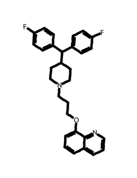 Fc1ccc(C(c2ccc(F)cc2)C2CCN(CCCOc3cccc4cccnc34)CC2)cc1